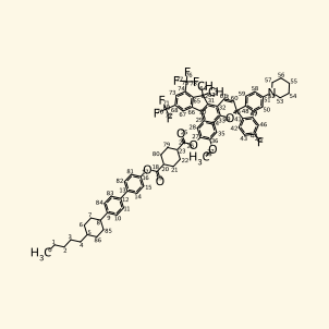 CCCCCC1CCC(c2ccc(-c3ccc(OC(=O)C4CCC(C(=O)Oc5cc6c7c(c8c(c6cc5OC)OC(c5ccc(F)cc5)(c5ccc(N6CCCCC6)cc5)C=C8)C(C)(C)c5c-7cc(C(F)(F)F)cc5C(F)(F)F)CC4)cc3)cc2)CC1